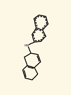 C1=CC2=C(C=CC(Nc3ccc4ccccc4c3)C2)CC1